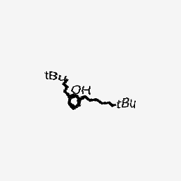 CC(C)(C)CCCCCCc1cccc(CCCCC(C)(C)C)c1O